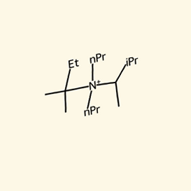 CCC[N+](CCC)(C(C)C(C)C)C(C)(C)CC